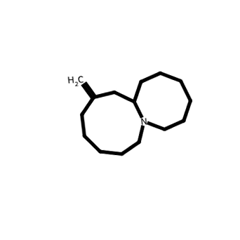 C=C1CCCCCN2CCCCCCC2C1